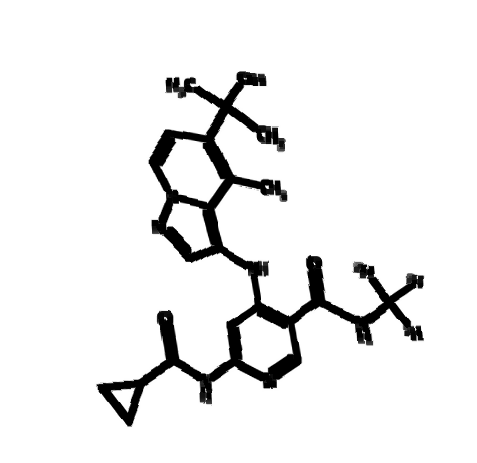 [2H]C([2H])([2H])NC(=O)c1cnc(NC(=O)C2CC2)cc1Nc1cnn2ccc(C(C)(C)O)c(C)c12